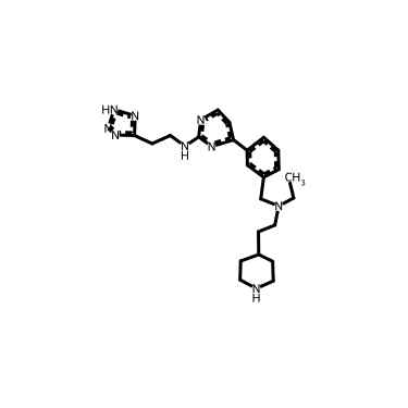 CCN(CCC1CCNCC1)Cc1cccc(-c2ccnc(NCCc3nn[nH]n3)n2)c1